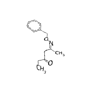 CCC(=O)CC(C)=NOCc1ccccc1